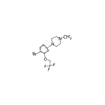 CN1CCN(c2ccc(Br)c(OCC(F)(F)F)c2)CC1